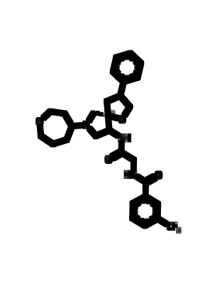 O=C(CNC(=O)c1cccc(C(F)(F)F)c1)NC1CN(C2CCCOCC2)C[C@@]12CC(c1ccccc1)CO2